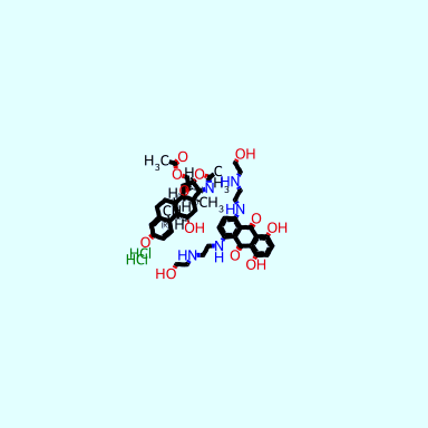 CC(=O)OCC(=O)[C@@]12N=C(C)O[C@@H]1C[C@H]1[C@@H]3CCC4=CC(=O)C=C[C@]4(C)[C@H]3[C@@H](O)C[C@@]12C.Cl.Cl.O=C1c2c(O)ccc(O)c2C(=O)c2c(NCCNCCO)ccc(NCCNCCO)c21